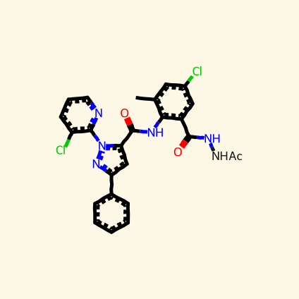 CC(=O)NNC(=O)c1cc(Cl)cc(C)c1NC(=O)c1cc(-c2ccccc2)nn1-c1ncccc1Cl